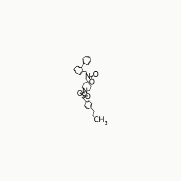 CCCc1ccc(CS(=O)(=O)N2CCC3(CC2)CN(Cc2ccccc2-c2ccccc2)C(=O)O3)cc1